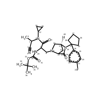 CC(C#N)N(C(=O)C(CN1C[C@@H]2CC1C(=O)N2C1(c2ccc(F)cc2)CCCC1)NC(=O)OC(C)(C)C)C1CC1